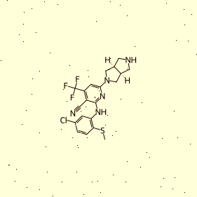 CSc1ccc(Cl)cc1Nc1nc(N2C[C@H]3CNC[C@H]3C2)cc(C(F)(F)F)c1C#N